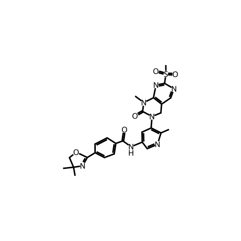 Cc1ncc(NC(=O)c2ccc(C3=NC(C)(C)CO3)cc2)cc1N1Cc2cnc(S(C)(=O)=O)nc2N(C)C1=O